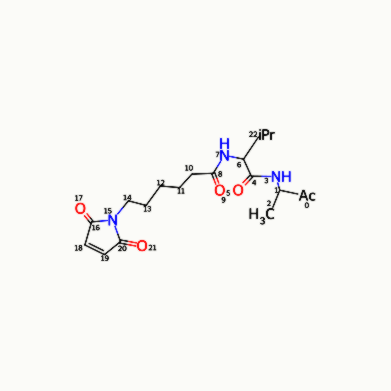 CC(=O)C(C)NC(=O)C(NC(=O)CCCCCN1C(=O)C=CC1=O)C(C)C